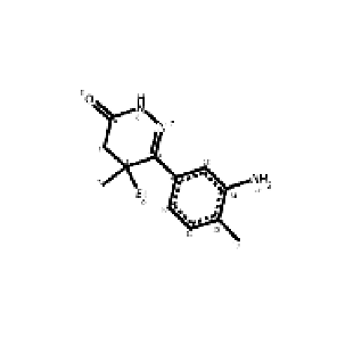 CCC1(C)CC(=O)NN=C1c1ccc(C)c(N)c1